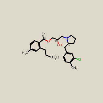 CCOC(=O)CCc1cc(C)ccc1[C@@H](CC)OC[C@H](O)CN1CCC[C@H]1Cc1ccc(C)c(Cl)c1